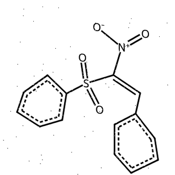 O=[N+]([O-])/C(=C/c1ccccc1)S(=O)(=O)c1ccccc1